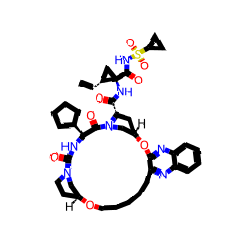 C=C[C@@H]1C[C@]1(NC(=O)[C@@H]1C[C@@H]2CN1C(=O)[C@H](C1CCCC1)NC(=O)N1CC[C@@H](C1)OCCCCCc1nc3ccccc3nc1O2)C(=O)NS(=O)(=O)C1CC1